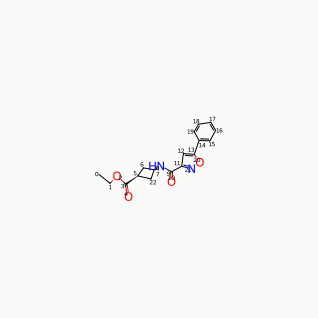 CCOC(=O)[C@H]1C[C@@H](NC(=O)c2cc(-c3ccccc3)on2)C1